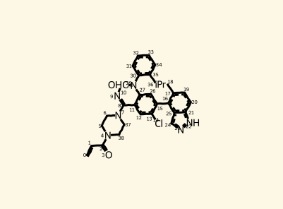 C=CC(=O)N1CCN(/C(=N/C)c2cc(Cl)c(-c3c(C)ccc4[nH]ncc34)cc2N(C=O)c2ccccc2C(C)C)CC1